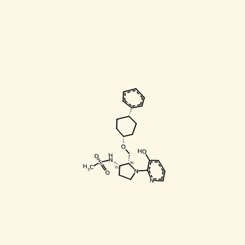 CS(=O)(=O)N[C@H]1CCN(c2ncccc2O)[C@H]1CO[C@H]1CC[C@@H](c2ccccc2)CC1